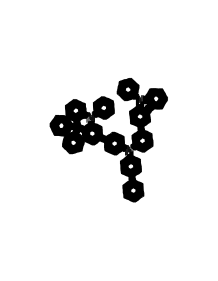 c1ccc(-c2ccc(N(c3ccc(-c4ccc5c(c4)N(c4ccccc4)c4ccccc4C5(c4ccccc4)c4ccccc4)cc3)c3cccc(-c4ccc5c(c4)c4ccccc4n5-c4ccccc4)c3)cc2)cc1